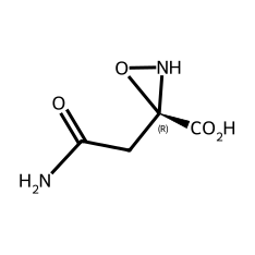 NC(=O)C[C@@]1(C(=O)O)NO1